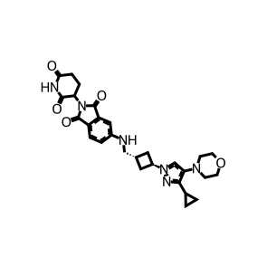 O=C1CCC(N2C(=O)c3ccc(NC[C@H]4C[C@H](n5cc(N6CCOCC6)c(C6CC6)n5)C4)cc3C2=O)C(=O)N1